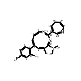 Cc1cc(-c2ccc(F)cc2F)cccnc(C2=CCC=CN=C2)nc1N(C)C